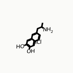 CC(N)Cc1ccc2cc(O)c(O)cc2c1.Cl